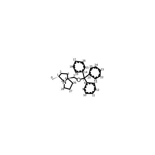 C[C@@H]1CC[C@]2(COC(c3ccccc3)(c3ccccc3)c3ccccc3)CCCN12